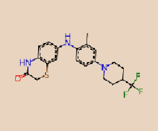 Cc1cc(N2CCC(C(F)(F)F)CC2)ccc1Nc1ccc2c(c1)SCC(=O)N2